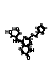 O=c1cnc2c(NC(CO)CO)nc(SCc3cccs3)nc2[nH]1